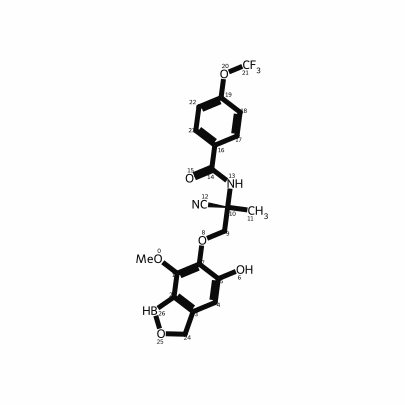 COc1c2c(cc(O)c1OC[C@](C)(C#N)NC(=O)c1ccc(OC(F)(F)F)cc1)COB2